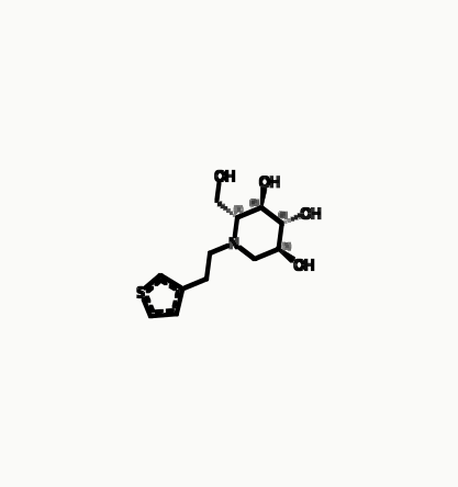 OC[C@@H]1[C@@H](O)[C@H](O)[C@@H](O)CN1CCc1ccsc1